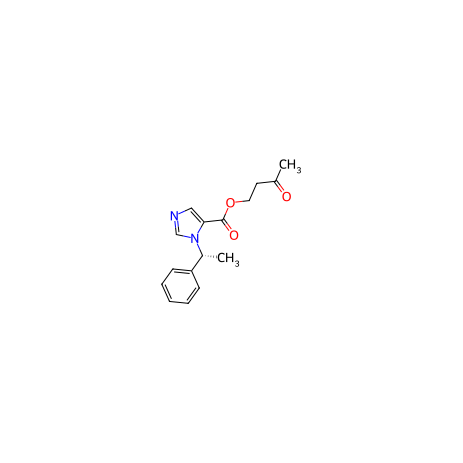 CC(=O)CCOC(=O)c1cncn1[C@H](C)c1ccccc1